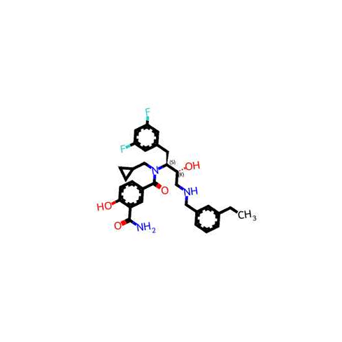 CCc1cccc(CNC[C@@H](O)[C@H](Cc2cc(F)cc(F)c2)N(CC2CC2)C(=O)c2ccc(O)c(C(N)=O)c2)c1